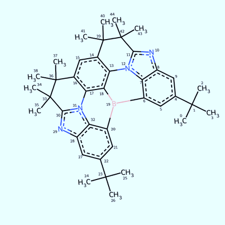 CC(C)(C)c1cc2c3c(c1)nc1n3-c3c(cc4c5c3B2c2cc(C(C)(C)C)cc3nc(n-5c23)C(C)(C)C4(C)C)C(C)(C)C1(C)C